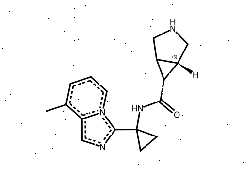 Cc1cccn2c(C3(NC(=O)C4C5CNC[C@@H]54)CC3)ncc12